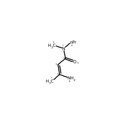 CCCN(C)C(=O)C=C(C)N